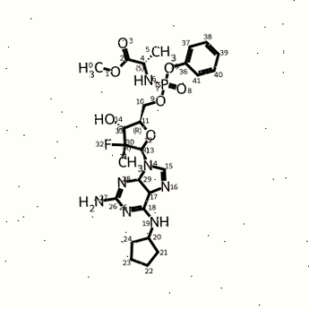 COC(=O)[C@H](C)N[P@](=O)(OC[C@H]1O[C@@H](N2C=NC3C(NC4CCCC4)=NC(N)=NC32)[C@](C)(F)[C@@H]1O)Oc1ccccc1